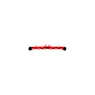 O=C(CCCC(=O)OCCOCCOCCOCCOCc1ccccc1)OCCOCCOCCOCCOCc1ccccc1